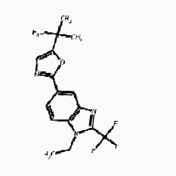 CCn1c(C(F)(F)F)nc2cc(-c3ncc(C(C)(C)C)o3)ccc21